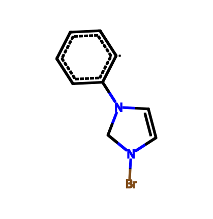 BrN1C=CN(c2[c]cccc2)C1